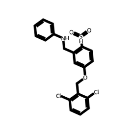 O=[SH](=O)c1ccc(OCc2c(Cl)cccc2Cl)cc1CNc1ccccc1